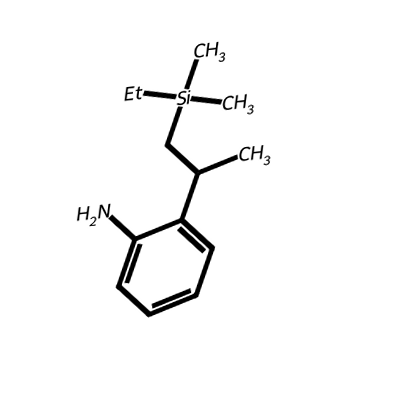 CC[Si](C)(C)CC(C)c1ccccc1N